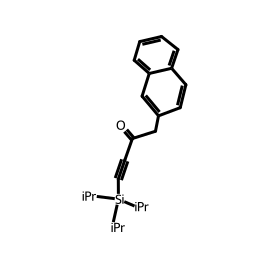 CC(C)[Si](C#CC(=O)Cc1ccc2ccccc2c1)(C(C)C)C(C)C